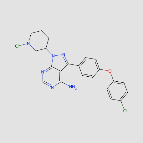 Nc1ncnc2c1c(-c1ccc(Oc3ccc(Cl)cc3)cc1)nn2C1CCCN(Cl)C1